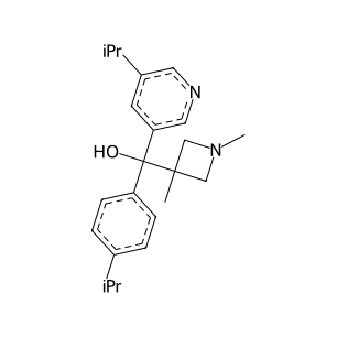 CC(C)c1ccc(C(O)(c2cncc(C(C)C)c2)C2(C)CN(C)C2)cc1